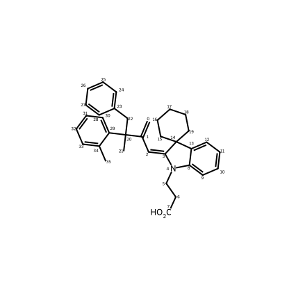 C=C(/C=C1/N(CCC(=O)O)c2ccccc2C12CCCCC2)C(C)(Cc1ccccc1)c1ccccc1C